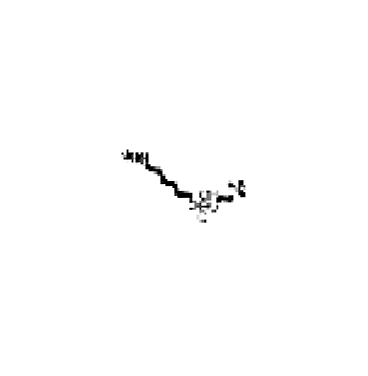 C[N+](C)(C)CCOP(=O)(O)OCCCCCCN=[N+]=[N-]